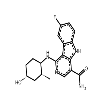 C[C@@H]1C[C@H](O)CCC1Nc1ncc(C(N)=O)c2[nH]c3ccc(F)cc3c12